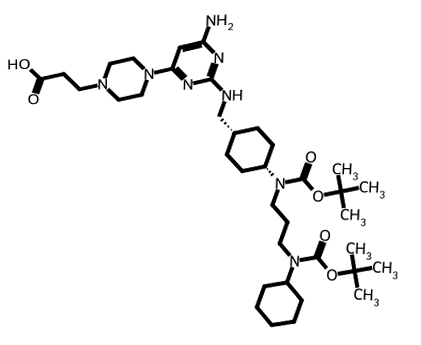 CC(C)(C)OC(=O)N(CCCN(C(=O)OC(C)(C)C)[C@H]1CC[C@@H](CNc2nc(N)cc(N3CCN(CCC(=O)O)CC3)n2)CC1)C1CCCCC1